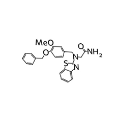 COc1cc(CN(CC(N)=O)c2nc3ccccc3s2)ccc1OCc1ccccc1